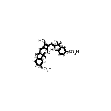 CC1(C)C(C=C2C(=O)C(C=C3Nc4ccc(S(=O)(=O)O)cc4C3(C)C)=C2O)=Nc2ccc(S(=O)(=O)O)cc21